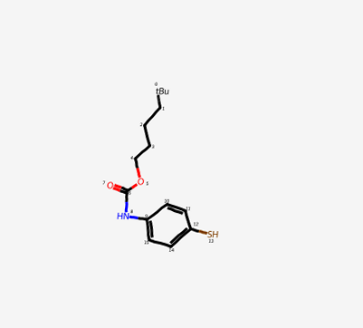 CC(C)(C)CCCCOC(=O)Nc1ccc(S)cc1